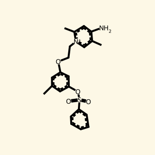 Cc1cc(OCC[n+]2cc(C)c(N)cc2C)cc(OS(=O)(=O)c2ccccc2)c1